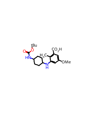 COc1cc(NC2CCC(NC(=O)OC(C)(C)C)CC2)c(C)c(C(=O)O)c1